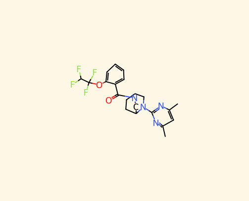 Cc1cc(C)nc(N2CC3CCC2CN3C(=O)c2ccccc2OC(F)(F)C(F)F)n1